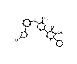 Cc1nc(-c2cnc(N3CCCC3)n(C)c2=O)ccc1Oc1ccnc(-c2cnn(C)c2)c1